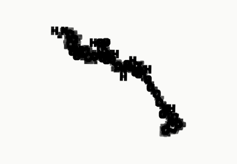 CC(C)C(NC(=O)CCOCCOCCOCCOCCNC(=O)CCC(=O)N1Cc2ccccc2C#Cc2ccccc21)C(=O)NCC(=O)Nc1ccc(COC(=O)NC(CCC(=O)O)C(=O)Nc2ccc3c(c2)C2CCCC(C)(C(=O)NC(=O)[C@@]4(C)CCCC5(C)c6cc(N)ccc6CCC54)C2CC3)cc1